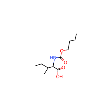 CCCCOC(=O)NC(C(=O)O)C(C)CC